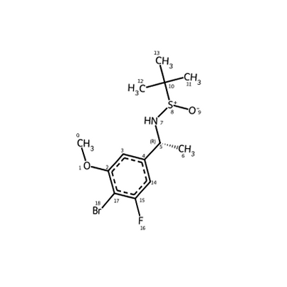 COc1cc([C@@H](C)N[S+]([O-])C(C)(C)C)cc(F)c1Br